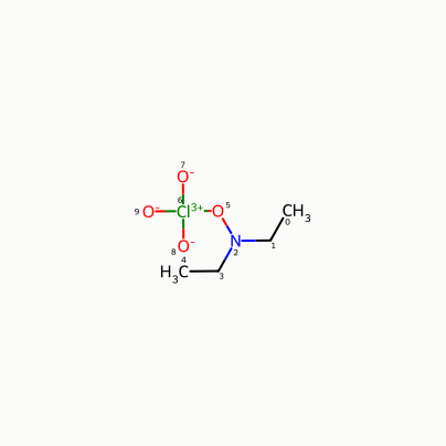 CCN(CC)O[Cl+3]([O-])([O-])[O-]